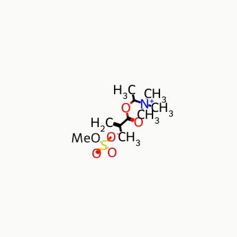 C=C(C)C(=O)OC(C)[N+](C)(C)C.COS(=O)(=O)[O-]